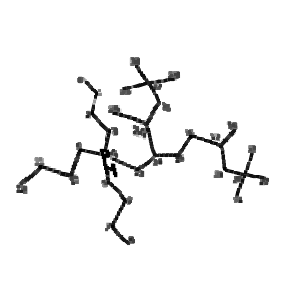 CCCC[PH](CCCC)(CCCC)CC(CCC(C)CC(C)(C)C)C(C)CC(C)(C)C